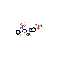 CC(C)(C)OC(=O)N[C@H]1C[C@@H](n2cc3ccc(S(C)(=O)=O)cc3c2)[C@@H](C(F)(F)F)O[C@@H]1c1cc(F)ccc1F